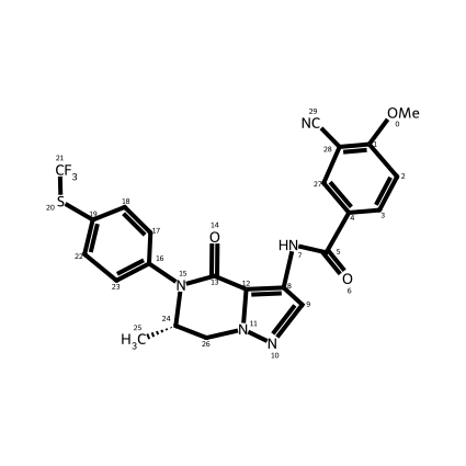 COc1ccc(C(=O)Nc2cnn3c2C(=O)N(c2ccc(SC(F)(F)F)cc2)[C@@H](C)C3)cc1C#N